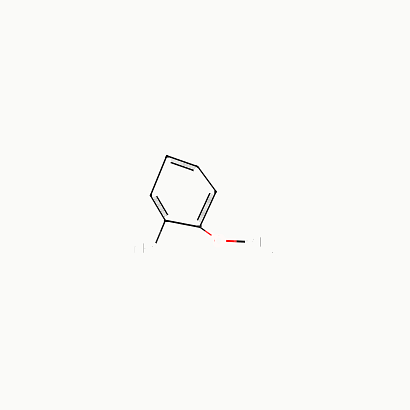 CCCc1ccccc1[O][BiH2]